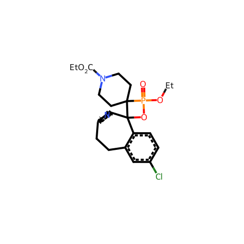 CCOC(=O)N1CCC2(CC1)C1(OP2(=O)OCC)c2ccc(Cl)cc2CCc2cccnc21